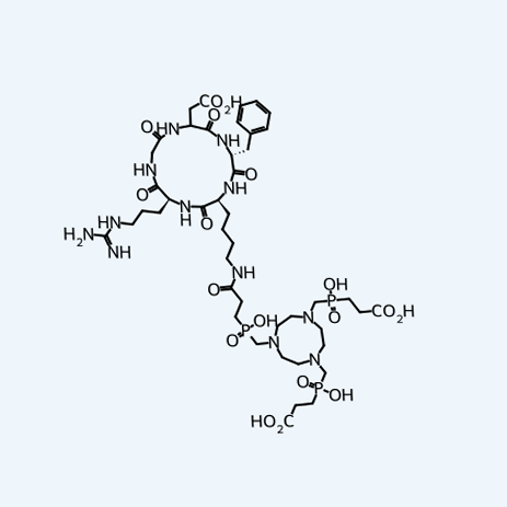 N=C(N)NCCC[C@@H]1NC(=O)[C@H](CCCCNC(=O)CCP(=O)(O)CN2CCN(CP(=O)(O)CCC(=O)O)CCN(CP(=O)(O)CCC(=O)O)CC2)NC(=O)[C@@H](Cc2ccccc2)NC(=O)C(CC(=O)O)NC(=O)CNC1=O